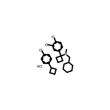 CN(CC1CCCCC1)C1(c2ccc(Cl)c(Cl)c2)CCC1.Cl.Clc1ccc([C]2CCC2)cc1